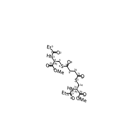 CCC(=O)N[C@@H](CSC(=O)CCC(=O)SC[C@H](NC(=O)CC)C(=O)OC)C(=O)OC